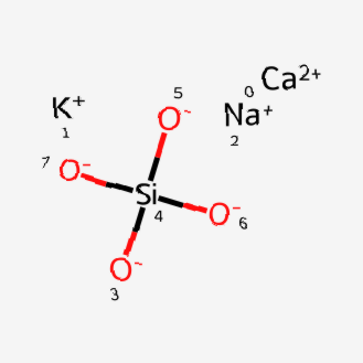 [Ca+2].[K+].[Na+].[O-][Si]([O-])([O-])[O-]